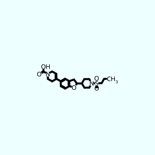 CCCS(=O)(=O)N1CCC(C2Cc3cc(C4=CCN(C(=O)O)CC4)ccc3O2)CC1